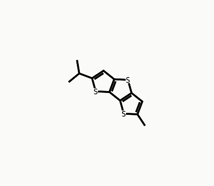 Cc1cc2sc3cc(C(C)C)sc3c2s1